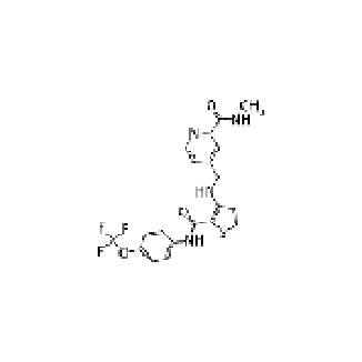 CNC(=O)c1cc(CNc2ccsc2C(=O)Nc2ccc(OC(F)(F)F)cc2)ccn1